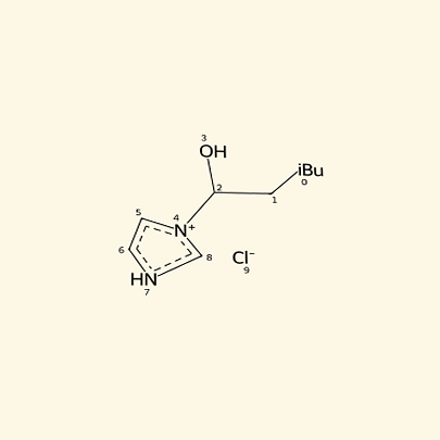 CCC(C)CC(O)[n+]1cc[nH]c1.[Cl-]